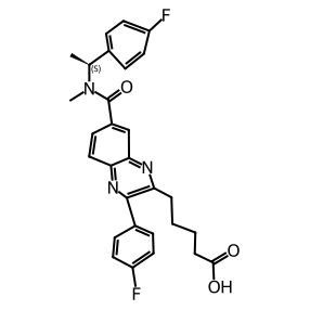 C[C@@H](c1ccc(F)cc1)N(C)C(=O)c1ccc2nc(-c3ccc(F)cc3)c(CCCCC(=O)O)nc2c1